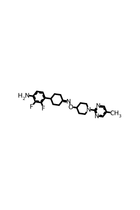 Cc1cnc(N2CCC(ON=C3CCC(c4ccc(N)c(F)c4F)CC3)CC2)nc1